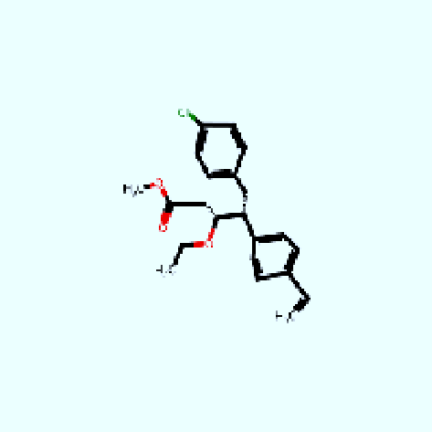 C=Cc1ccc([C@@H](Cc2ccc(Cl)cc2)[C@@H](CC(=O)OC)OCC)cc1